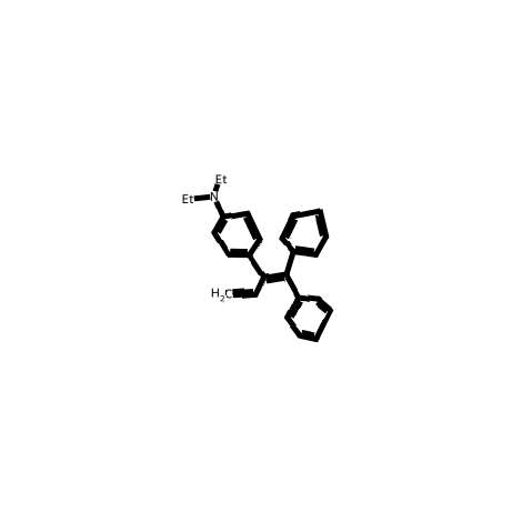 C=CC(=C(c1ccccc1)c1ccccc1)c1ccc(N(CC)CC)cc1